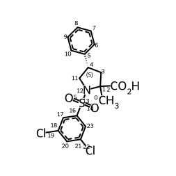 CC1(C(=O)O)C[C@@H](c2ccccc2)CN1S(=O)(=O)c1cc(Cl)cc(Cl)c1